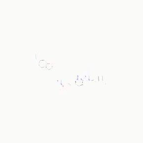 C=C1CCc2cc(/C=C/C(=O)N3CCC(Cc4coc5cc(F)ccc45)CC3)cnc2N1